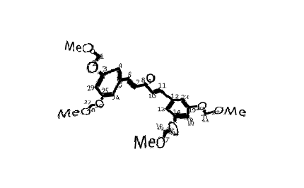 COCOc1cc(C=CC(=O)C=Cc2cc(OCOC)cc(OCOC)c2)cc(OCOC)c1